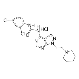 Cl.O=C(Nc1ccc(Cl)cc1Cl)Nc1ncnc2c1cnn2CCN1CCCCC1